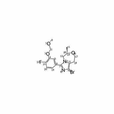 COCOc1cc(-c2nc(Br)c3n2C[C@@H](C)OCC3)ccc1F